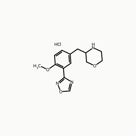 COc1ccc(CC2COCCN2)cc1-c1ncon1.Cl